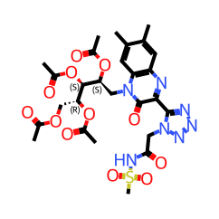 CC(=O)OC[C@@H](OC(C)=O)[C@@H](OC(C)=O)[C@H](Cn1c(=O)c(-c2nnnn2CC(=O)NS(C)(=O)=O)nc2cc(C)c(C)cc21)OC(C)=O